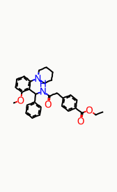 CCOC(=O)c1ccc(CC(=O)NC(c2ccccc2)c2c(OC)cccc2N2CCCCC2)cc1